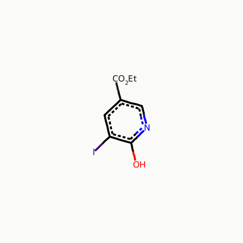 CCOC(=O)c1cnc(O)c(I)c1